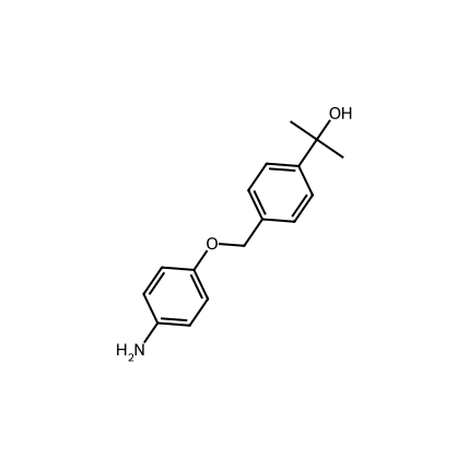 CC(C)(O)c1ccc(COc2ccc(N)cc2)cc1